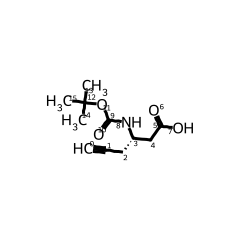 C#CC[C@@H](CC(=O)O)NC(=O)OC(C)(C)C